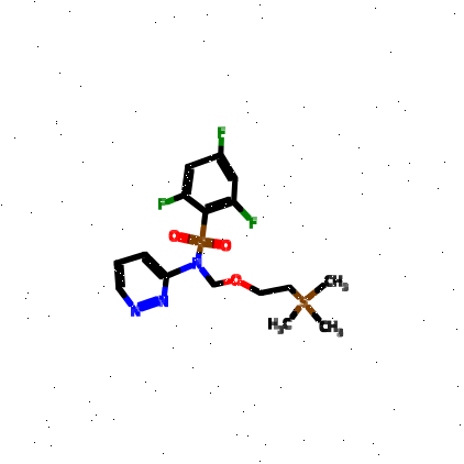 CS(C)(C)CCOCN(c1cccnn1)S(=O)(=O)c1c(F)cc(F)cc1F